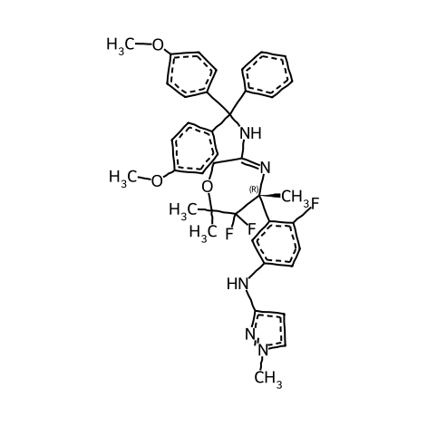 COc1ccc(C(NC2=N[C@](C)(c3cc(Nc4ccn(C)n4)ccc3F)C(F)(F)C(C)(C)OC2)(c2ccccc2)c2ccc(OC)cc2)cc1